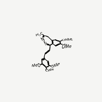 COc1cc2c(cc1OC)C(C=Cc1cc(OC)c(OC)c(OC)c1)=NN=C(C)C2